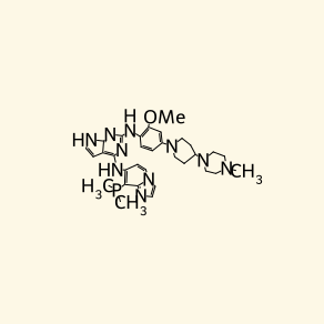 COc1cc(N2CCC(N3CCN(C)CC3)CC2)ccc1Nc1nc(Nc2ccn3ccnc3c2P(C)C)c2cc[nH]c2n1